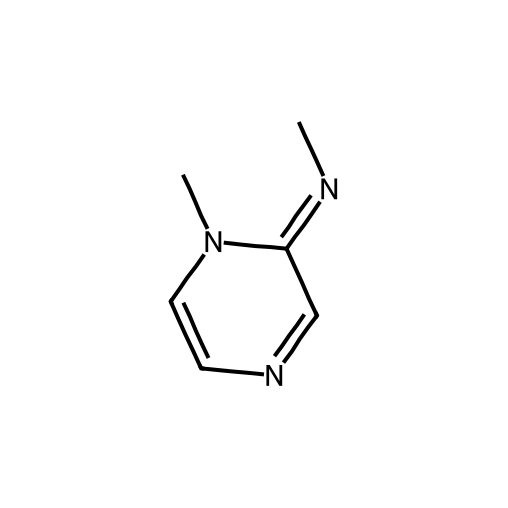 C/N=c1/cnccn1C